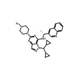 CC(=O)N1CCN(c2nc(N[C@H](C)c3cnc4ccccc4c3)c3c(cnn3C(C3CC3)C3CC3)n2)CC1